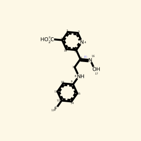 O=C(O)c1ccnc(/C(CNc2ccc(F)cc2)=N/O)c1